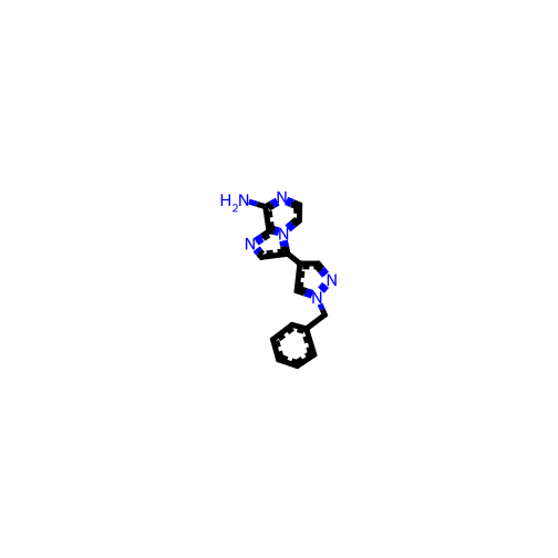 Nc1nccn2c(-c3cnn(Cc4ccccc4)c3)cnc12